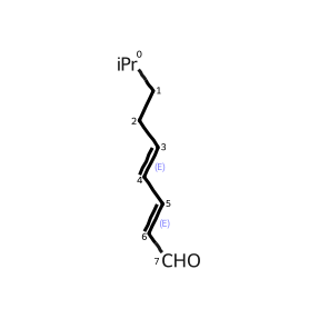 CC(C)CC/C=C/C=C/C=O